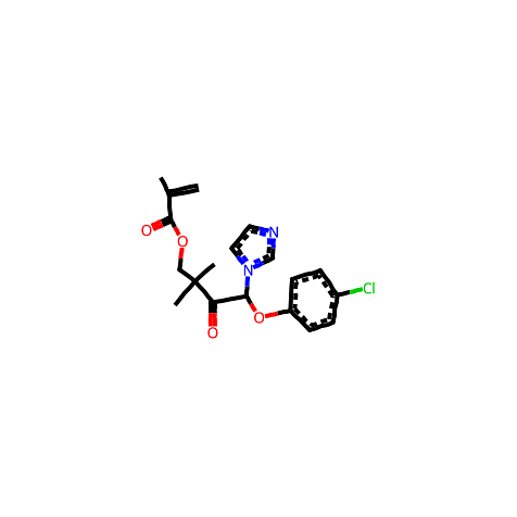 C=C(C)C(=O)OCC(C)(C)C(=O)C(Oc1ccc(Cl)cc1)n1ccnc1